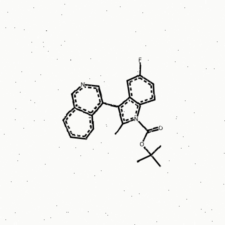 Cc1c(-c2cncc3ccccc23)c2cc(F)ccc2n1C(=O)OC(C)(C)C